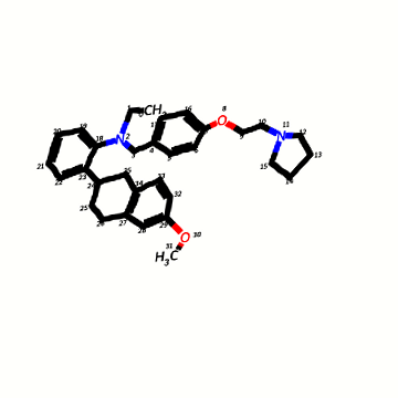 CCN(Cc1ccc(OCCN2CCCC2)cc1)c1ccccc1C1CCc2cc(OC)ccc2C1